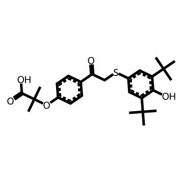 CC(C)(Oc1ccc(C(=O)CSc2cc(C(C)(C)C)c(O)c(C(C)(C)C)c2)cc1)C(=O)O